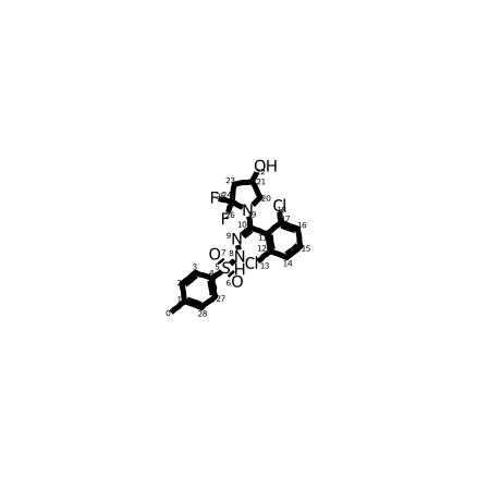 Cc1ccc(S(=O)(=O)N/N=C(\c2c(Cl)cccc2Cl)N2CC(O)CC2(F)F)cc1